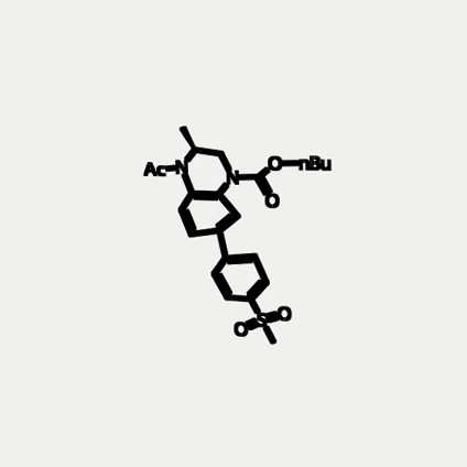 CCCCOC(=O)N1C[C@H](C)N(C(C)=O)c2ccc(-c3ccc(S(C)(=O)=O)cc3)cc21